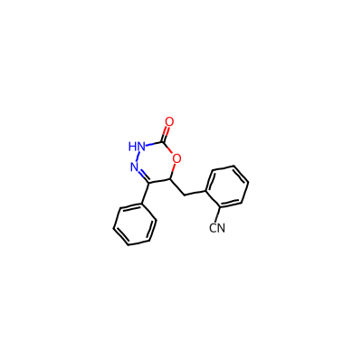 N#Cc1ccccc1CC1OC(=O)NN=C1c1ccccc1